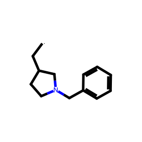 [CH2]CC1CCN(Cc2ccccc2)C1